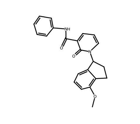 COc1cccc2c1CCC2n1cccc(C(=O)Nc2ccccc2)c1=O